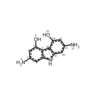 Nc1cc(O)c2c(c1)[nH]c1cc(N)cc(O)c12